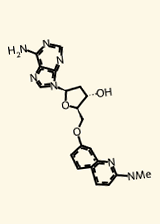 CNc1ccc2ccc(OC[C@H]3O[C@@H](n4cnc5c(N)ncnc54)C[C@@H]3O)cc2n1